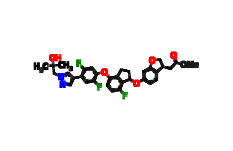 COC(=O)C[C@@H]1COc2cc(O[C@@H]3CCc4c(Oc5cc(F)c(-c6cnn(CC(C)(C)O)c6)cc5F)ccc(F)c43)ccc21